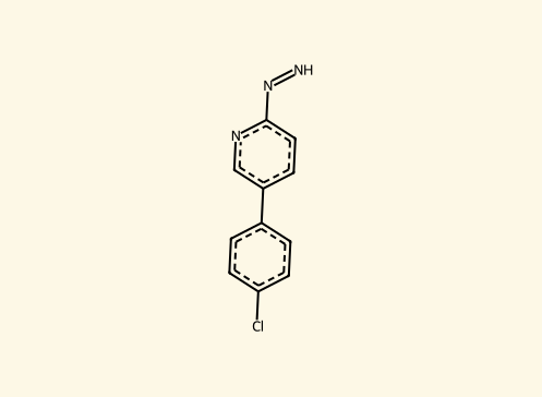 N=Nc1ccc(-c2ccc(Cl)cc2)cn1